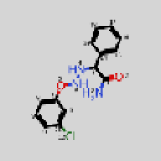 NC(=O)C(NNOc1cccc(Cl)c1)c1ccccc1